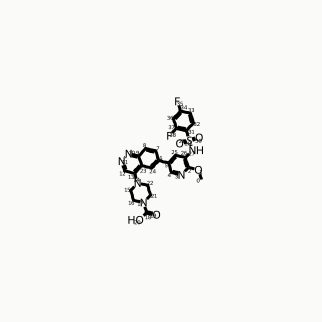 COc1ncc(-c2ccc3nncc(N4CCN(C(=O)O)CC4)c3c2)cc1NS(=O)(=O)c1ccc(F)cc1F